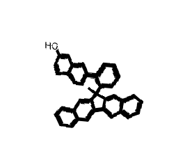 CC1(c2ccccc2-c2ccc3ccc(O)cc3c2)c2cc3ccccc3cc2-c2cc3ccccc3cc21